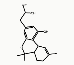 CCCC(O)Cc1cc(O)c2c(c1)OC(C)(C)C1CCC(C)=CC21